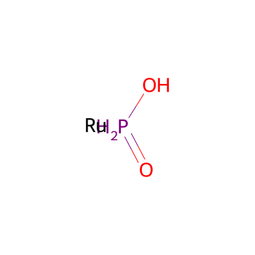 O=[PH2]O.[Ru]